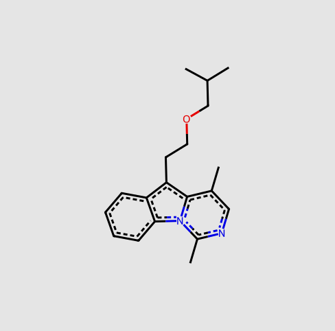 Cc1cnc(C)n2c1c(CCOCC(C)C)c1ccccc12